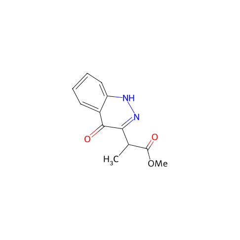 COC(=O)C(C)c1n[nH]c2ccccc2c1=O